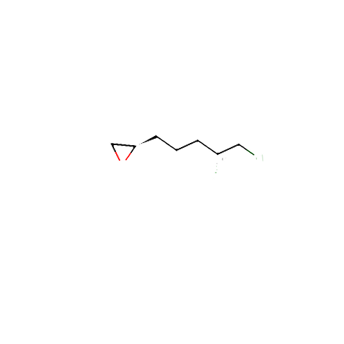 ClC[C@H](Cl)CCC[C@@H]1CO1